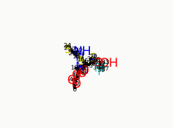 CCOC(=O)COC(=O)C(C)NC(=O)C(CSSCC(N)CCSC)Cc1ccsc1.O=C(O)C(F)(F)F